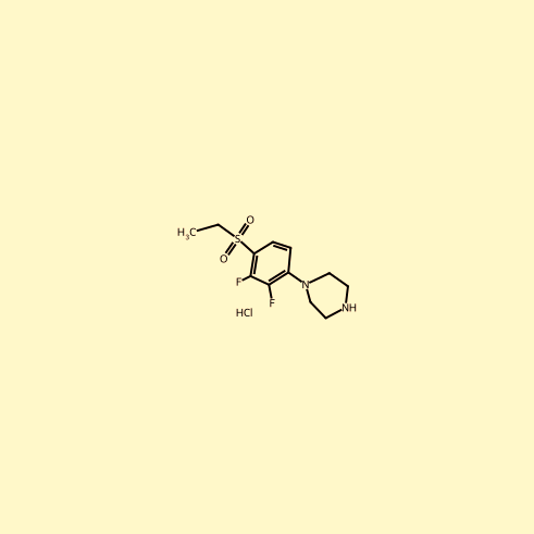 CCS(=O)(=O)c1ccc(N2CCNCC2)c(F)c1F.Cl